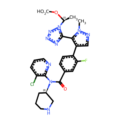 C[C@H](OC(=O)O)n1nnnc1-c1c(-c2ccc(C(=O)N(c3ncccc3Cl)[C@@H]3CCCNC3)cc2F)cnn1C